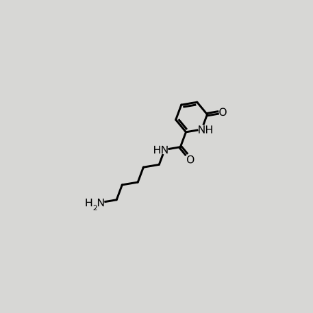 NCCCCCNC(=O)c1cccc(=O)[nH]1